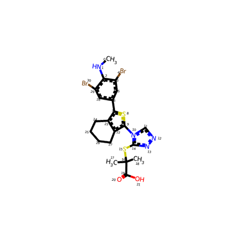 CNc1c(Br)cc(-c2sc(-n3cnnc3SC(C)(C)C(=O)O)c3c2CCCC3)cc1Br